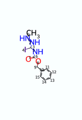 CNNC(I)NC(=O)OCc1ccccc1